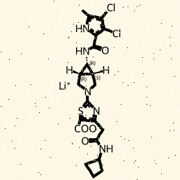 Cc1[nH]c(C(=O)N[C@@H]2[C@@H]3CN(c4nc(CC(=O)NC5CCC5)c(C(=O)[O-])s4)C[C@@H]32)c(Cl)c1Cl.[Li+]